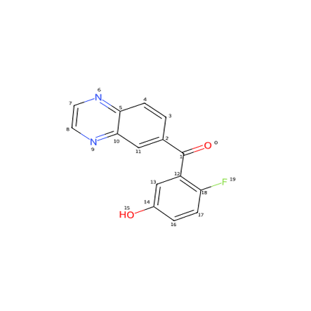 O=C(c1ccc2nccnc2c1)c1cc(O)ccc1F